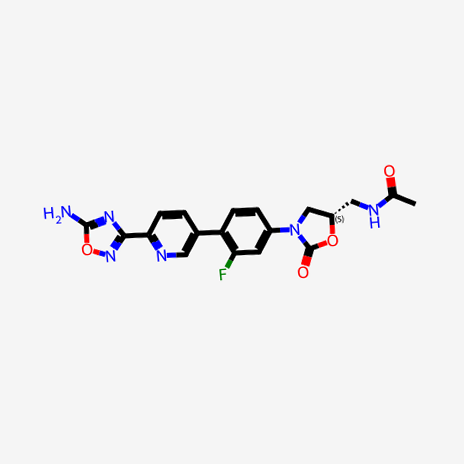 CC(=O)NC[C@H]1CN(c2ccc(-c3ccc(-c4noc(N)n4)nc3)c(F)c2)C(=O)O1